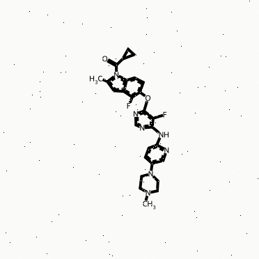 Cc1cc2c(F)c(Oc3ncnc(Nc4ccc(N5CCN(C)CC5)cn4)c3F)ccc2n1C(=O)C1CC1